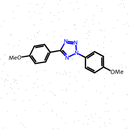 COc1ccc(-c2nnn(-c3ccc(OC)cc3)n2)cc1